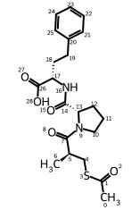 CC(=O)SC[C@@H](C)C(=O)N1CCC[C@H]1C(=O)N[C@@H](CCc1ccccc1)C(=O)O